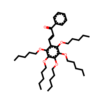 CCCCCOc1c(C=CC(=O)c2ccccc2)c(OCCCCC)c(OCCCCC)c(OCCCCC)c1OCCCCC